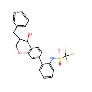 O=S(=O)(Nc1ccccc1-c1ccc2c(c1)OCC(Cc1ccccc1)C2O)C(F)(F)F